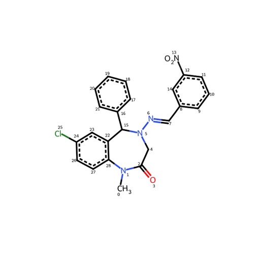 CN1C(=O)CN(/N=C/c2cccc([N+](=O)[O-])c2)C(c2ccccc2)c2cc(Cl)ccc21